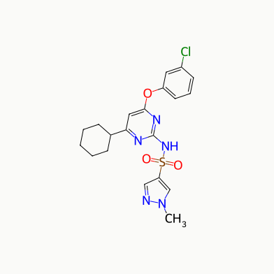 Cn1cc(S(=O)(=O)Nc2nc(Oc3cccc(Cl)c3)cc(C3CCCCC3)n2)cn1